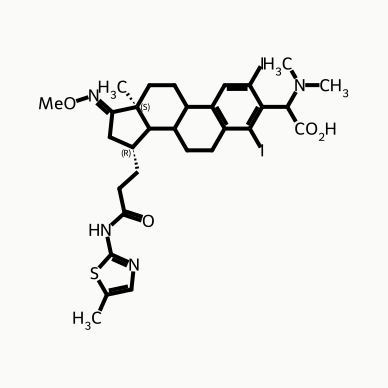 CON=C1C[C@@H](CCC(=O)Nc2ncc(C)s2)C2C3CCc4c(cc(I)c(C(C(=O)O)N(C)C)c4I)C3CC[C@]12C